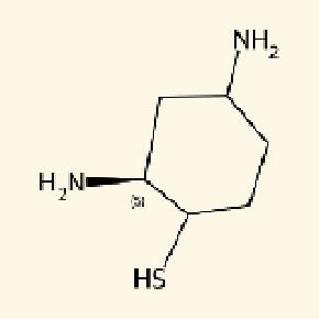 NC1CCC(S)[C@@H](N)C1